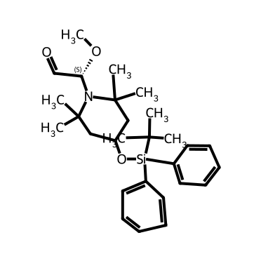 CO[C@@H](C=O)N1C(C)(C)CC(O[Si](c2ccccc2)(c2ccccc2)C(C)(C)C)CC1(C)C